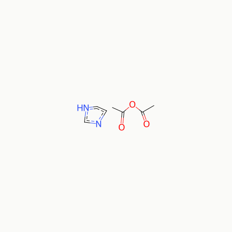 CC(=O)OC(C)=O.c1c[nH]cn1